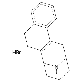 Br.CN1C2CCCC1C1=C(C2)c2ccccc2CC1